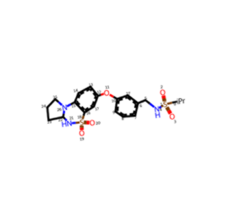 CC(C)S(=O)(=O)NCc1cccc(Oc2ccc3c(c2)S(=O)(=O)NC2CCCN32)c1